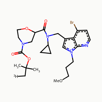 [2H]CC(C)(C)OC(=O)N1CCOC(C(=O)N(Cc2cn(CCCOC)c3nccc(Br)c23)C2CC2)C1